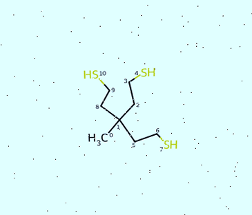 CC(CCS)(CCS)CCS